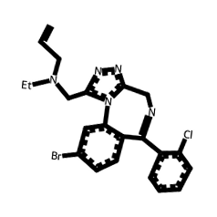 C=CCN(CC)Cc1nnc2n1-c1cc(Br)ccc1C(c1ccccc1Cl)=NC2